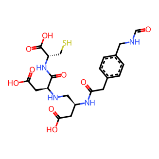 O=CNCc1ccc(CC(=O)N[C@H](CN[C@@H](CC(=O)O)C(=O)N[C@@H](CS)C(=O)O)CC(=O)O)cc1